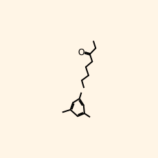 CCCCCC(=O)CC.Cc1cc(C)cc(C)c1